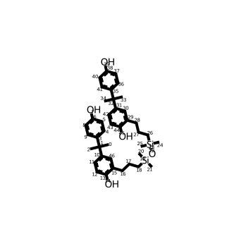 CC(C)(c1ccc(O)cc1)c1ccc(O)c(CCC[Si](C)(C)O[Si](C)(C)CCCc2cc(C(C)(C)c3ccc(O)cc3)ccc2O)c1